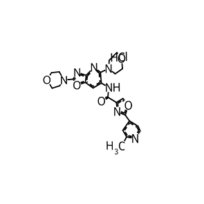 Cc1cc(-c2nc(C(=O)Nc3cc4oc(N5CCOCC5)nc4nc3N3CCOCC3)co2)ccn1.Cl